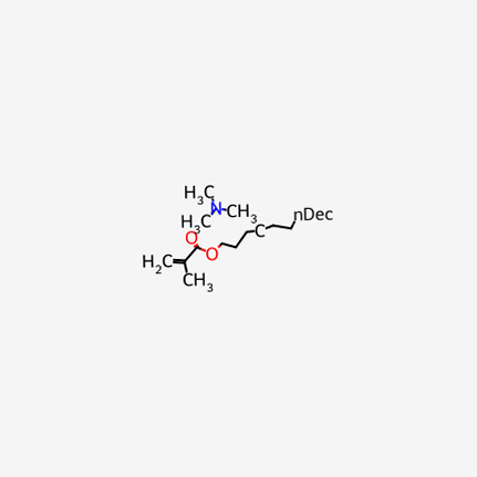 C=C(C)C(=O)OCCCCCCCCCCCCCCCC.CN(C)C